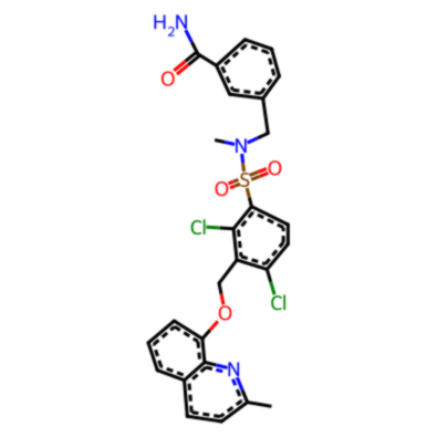 Cc1ccc2cccc(OCc3c(Cl)ccc(S(=O)(=O)N(C)Cc4cccc(C(N)=O)c4)c3Cl)c2n1